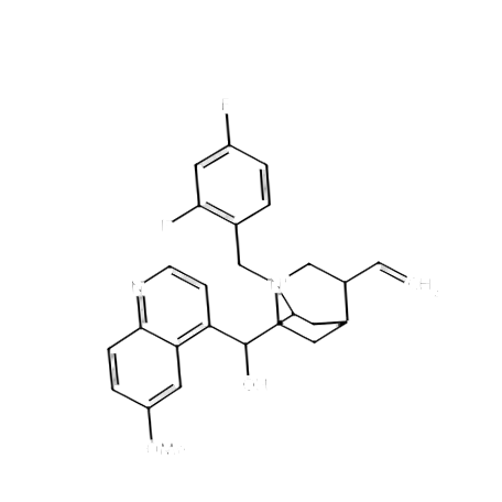 C=CC1C[N+]2(Cc3ccc(F)cc3F)CCC1CC2C(O)c1ccnc2ccc(OC)cc12